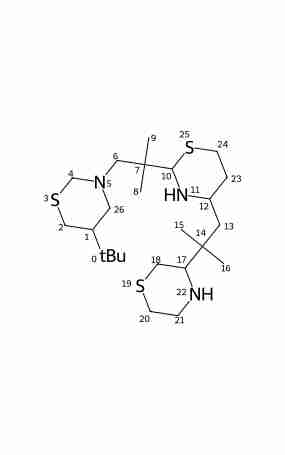 CC(C)(C)C1CSCN(CC(C)(C)C2NC(CC(C)(C)C3CSCCN3)CCS2)C1